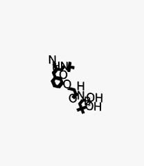 CC(C)(C)CC(NC(=O)CCOc1cccc(C=C(C#N)C(=O)NC(C)(C)C)c1)B(O)O